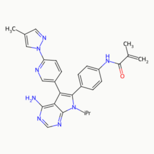 C=C(C)C(=O)Nc1ccc(-c2c(-c3ccc(-n4cc(C)cn4)nc3)c3c(N)ncnc3n2C(C)C)cc1